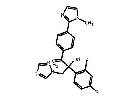 C=C(c1ccc(-c2nccn2C)cc1)C(O)(Cn1cncn1)c1ccc(F)cc1F